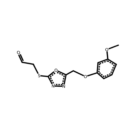 COc1cccc(OCc2nnc(SCC=O)o2)c1